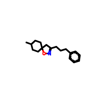 CC1CCC2(CC1)CC(CCCc1ccccc1)=NO2